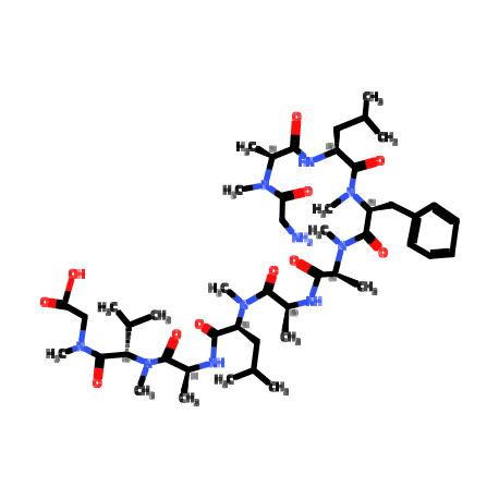 CC(C)C[C@H](NC(=O)[C@H](C)N(C)C(=O)CN)C(=O)N(C)[C@@H](Cc1ccccc1)C(=O)N(C)[C@@H](C)C(=O)N[C@@H](C)C(=O)N(C)[C@@H](CC(C)C)C(=O)N[C@@H](C)C(=O)N(C)[C@H](C(=O)N(C)CC(=O)O)C(C)C